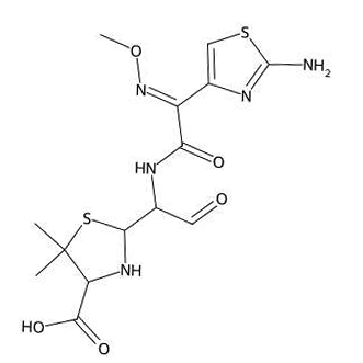 CON=C(C(=O)NC(C=O)C1NC(C(=O)O)C(C)(C)S1)c1csc(N)n1